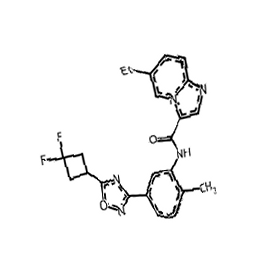 CCc1ccc2ncc(C(=O)Nc3cc(-c4noc(C5CC(F)(F)C5)n4)ccc3C)n2c1